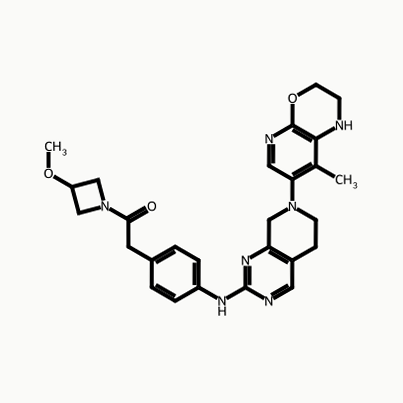 COC1CN(C(=O)Cc2ccc(Nc3ncc4c(n3)CN(c3cnc5c(c3C)NCCO5)CC4)cc2)C1